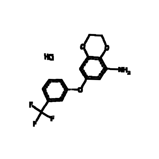 Cl.Nc1cc(Oc2cccc(C(F)(F)F)c2)cc2c1OCCO2